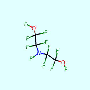 FOC(F)(F)C(F)(F)N(F)C(F)(F)C(F)(F)OF